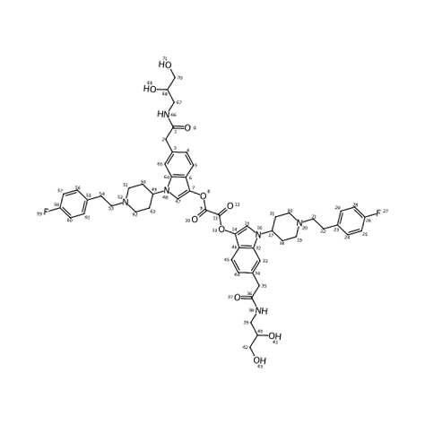 O=C(Cc1ccc2c(OC(=O)C(=O)Oc3cn(C4CCN(CCc5ccc(F)cc5)CC4)c4cc(CC(=O)NCC(O)CO)ccc34)cn(C3CCN(CCc4ccc(F)cc4)CC3)c2c1)NCC(O)CO